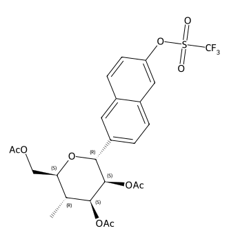 CC(=O)OC[C@H]1O[C@H](c2ccc3cc(OS(=O)(=O)C(F)(F)F)ccc3c2)[C@@H](OC(C)=O)[C@@H](OC(C)=O)[C@@H]1C